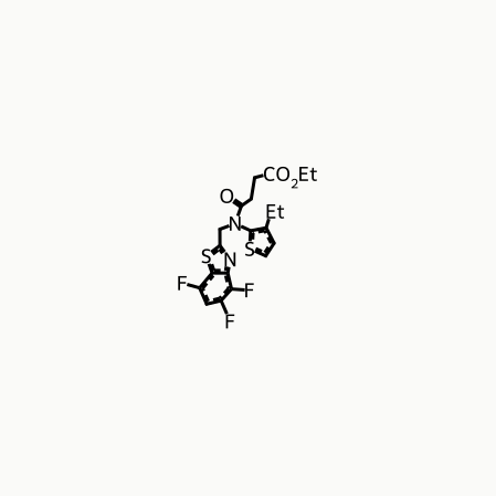 CCOC(=O)CCC(=O)N(Cc1nc2c(F)c(F)cc(F)c2s1)c1sccc1CC